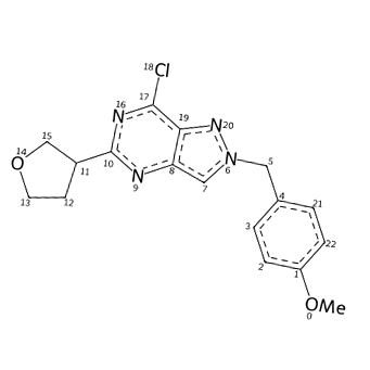 COc1ccc(Cn2cc3nc(C4CCOC4)nc(Cl)c3n2)cc1